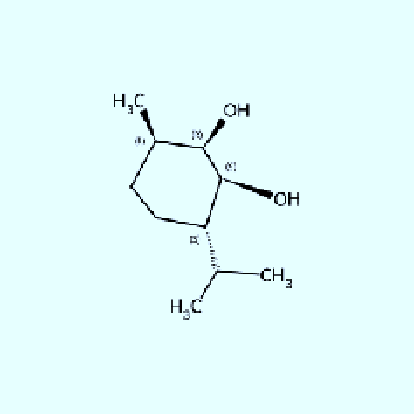 CC(C)[C@@H]1CC[C@@H](C)[C@@H](O)[C@H]1O